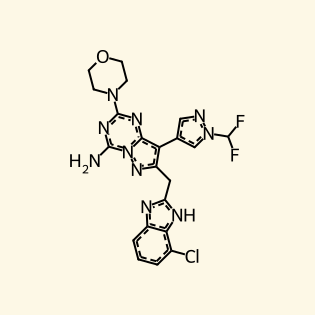 Nc1nc(N2CCOCC2)nc2c(-c3cnn(C(F)F)c3)c(Cc3nc4cccc(Cl)c4[nH]3)nn12